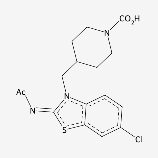 CC(=O)N=c1sc2cc(Cl)ccc2n1CC1CCN(C(=O)O)CC1